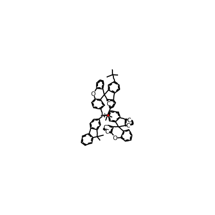 CC(C)(C)c1ccc2c(c1)C1(c3ccccc3Oc3ccc(N(c4ccc5c(c4)C(C)(C)c4ccccc4-5)c4ccc5c(c4)C4(c6ccccc6Oc6ccccc64)c4ccccc4-5)cc31)c1cc(C(C)(C)C)ccc1-2